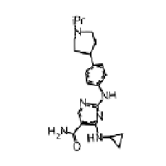 CC(C)N1CCC(c2ccc(Nc3ncc(C(N)=O)c(NC4CC4)n3)cc2)CC1